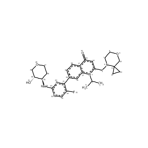 CC(C)n1c(CN2CCOCC23CC3)cc(=O)c2ccc(-c3nc(N[C@@H]4CCOC[C@H]4O)ncc3F)cc21